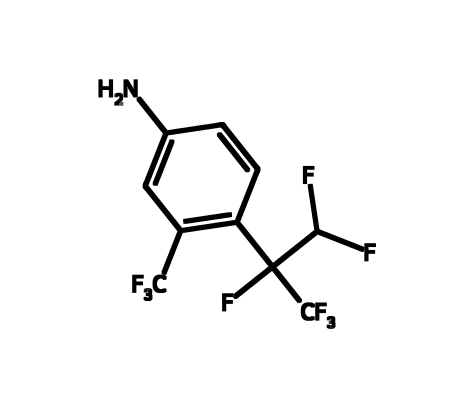 Nc1ccc(C(F)(C(F)F)C(F)(F)F)c(C(F)(F)F)c1